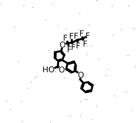 O=C(O)c1ccc(OC(F)(F)C(F)(F)C(F)(F)C(F)(F)F)cc1-c1ccc(OCc2ccccc2)cc1